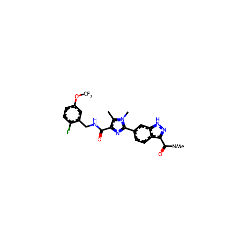 CNC(=O)c1n[nH]c2cc(-c3nc(C(=O)NCc4cc(OC(F)(F)F)ccc4F)c(C)n3C)ccc12